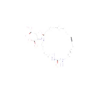 COC(=O)CC(C(=O)OC)N1CCCCNC(=O)NCCCC/C=C\CCCCCCC1=O